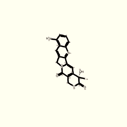 Nc1cccc2nc3c(cc12)Cn1c-3cc2c(c1=O)COC(=O)[C@]2(O)I